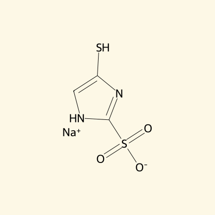 O=S(=O)([O-])c1nc(S)c[nH]1.[Na+]